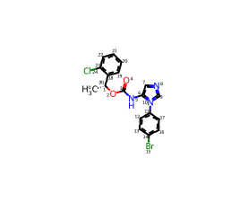 C[C@@H](OC(=O)Nc1cncn1-c1ccc(Br)cc1)c1ccccc1Cl